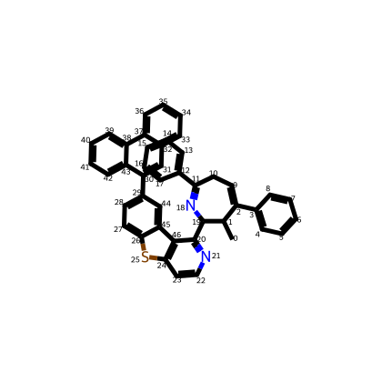 CC1C(c2ccccc2)=CCC(c2ccccc2)=NC1c1nccc2sc3ccc(-c4cc5ccccc5c5ccccc45)cc3c12